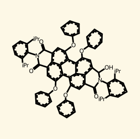 CC(C)c1cccc(C(C)C)c1N1C(=O)c2cc(Oc3ccccc3)c3c4c(Oc5ccccc5)cc5c6c(cc(Oc7ccccc7)c(c7c(Oc8ccccc8)cc(c2c37)C1=O)c64)C(O)N(c1c(C(C)C)cccc1C(C)C)C5=O